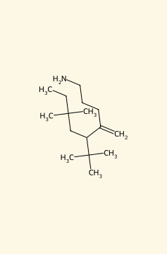 C=C(CCCN)C(CC(C)(C)CC)C(C)(C)C